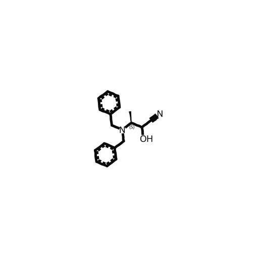 C[C@@H](C(O)C#N)N(Cc1ccccc1)Cc1ccccc1